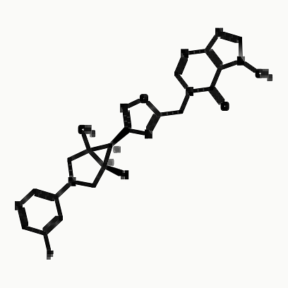 Cn1cnc2ncn(Cc3nc([C@H]4[C@@H]5CN(c6cncc(F)c6)CC54C)no3)c(=O)c21